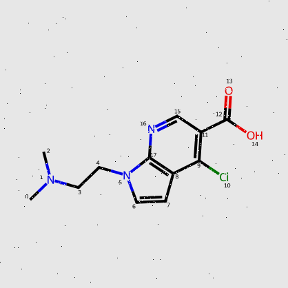 CN(C)CCn1ccc2c(Cl)c(C(=O)O)cnc21